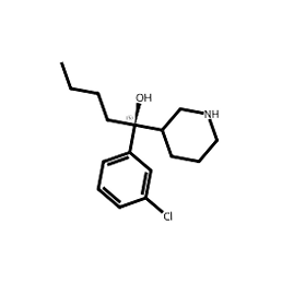 CCCC[C@@](O)(c1cccc(Cl)c1)C1CCCNC1